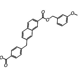 COc1cccc(COC(=O)c2ccc3ccc(Cc4ccc(C(=O)O)cc4)cc3c2)c1